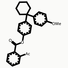 COc1ccc(C2(c3ccc(OC(=O)c4ccccc4C(C)=O)cc3)CCCCC2)cc1